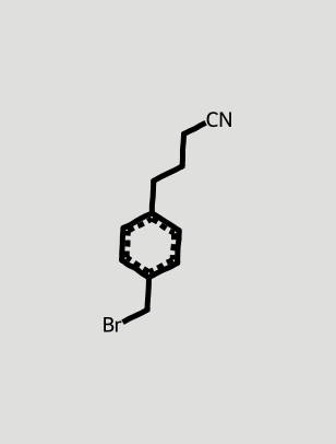 N#CCCCc1ccc(CBr)cc1